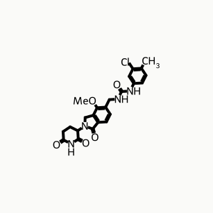 COc1c(CNC(=O)Nc2ccc(C)c(Cl)c2)ccc2c1CN(C1CCC(=O)NC1=O)C2=O